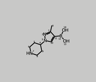 Cc1nn(C2CCNCC2)cc1B(O)O